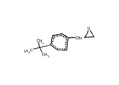 C1CO1.CC(C)(C)c1ccc(O)cc1